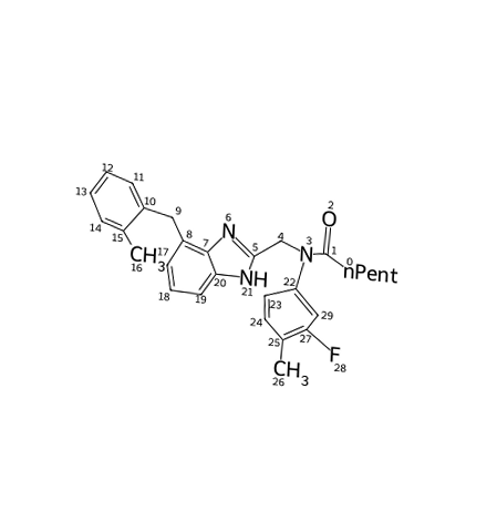 CCCCCC(=O)N(Cc1nc2c(Cc3ccccc3C)cccc2[nH]1)c1ccc(C)c(F)c1